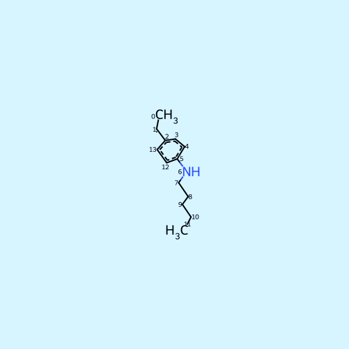 C[CH]c1ccc(NCCCCC)cc1